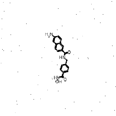 Nc1ccc2cc(C(=O)NCc3ccc(C(=O)NO)cc3)ccc2c1